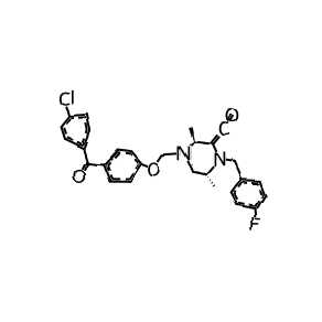 C[C@@H]1CN(COc2ccc(C(=O)c3ccc(Cl)cc3)cc2)[C@@H](C)C(=C=O)N1Cc1ccc(F)cc1